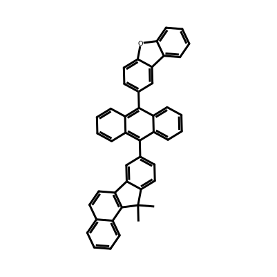 CC1(C)c2ccc(-c3c4ccccc4c(-c4ccc5oc6ccccc6c5c4)c4ccccc34)cc2-c2ccc3ccccc3c21